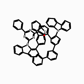 c1ccc(-c2cccc(-c3ccc(-n4c5ccccc5c5ccccc54)c(-c4cccc(-c5nc(-c6ccccc6)nc(-n6c7ccccc7c7cccc(-c8ccc9oc%10ccccc%10c9c8)c76)n5)c4)c3)c2)cc1